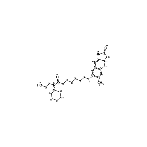 Cc1cc2c(cc1OCCCCCCC(=O)N(CCO)C1CCCCC1)N=C1NC(=O)CN1C2